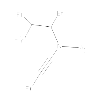 CCC#CN(C(C)=O)C(CC)C(CC)C(F)(F)F